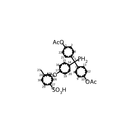 CC(=O)Oc1ccc(C(P)(c2ccc(OC(C)=O)cc2)c2ccc(OC(C)=O)cc2)cc1.Cc1ccc(S(=O)(=O)O)cc1